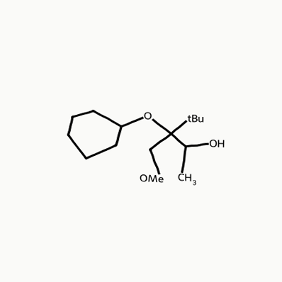 COCC(OC1CCCCC1)(C(C)O)C(C)(C)C